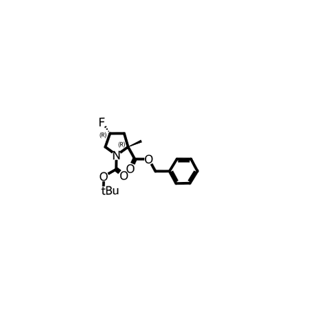 CC(C)(C)OC(=O)N1C[C@H](F)C[C@]1(C)C(=O)OCc1ccccc1